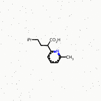 Cc1cccc(C(CCC(C)C)C(=O)O)n1